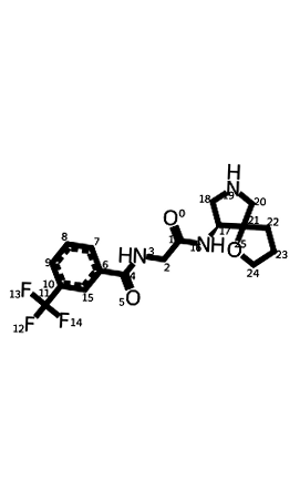 O=C(CNC(=O)c1cccc(C(F)(F)F)c1)N[C@H]1CNCC12CCCO2